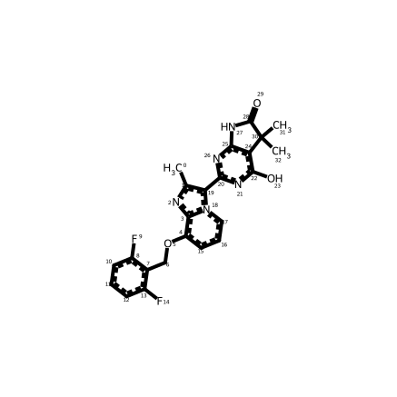 Cc1nc2c(OCc3c(F)cccc3F)cccn2c1-c1nc(O)c2c(n1)NC(=O)C2(C)C